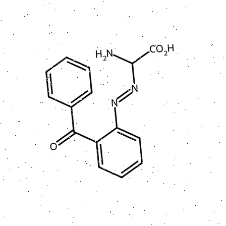 NC(/N=N/c1ccccc1C(=O)c1ccccc1)C(=O)O